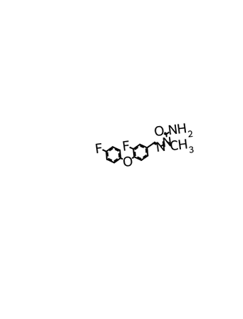 CN(N=Cc1ccc(Oc2ccc(F)cc2)c(F)c1)C(N)=O